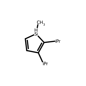 CC(C)C1=C(C(C)C)[SiH](C)C=C1